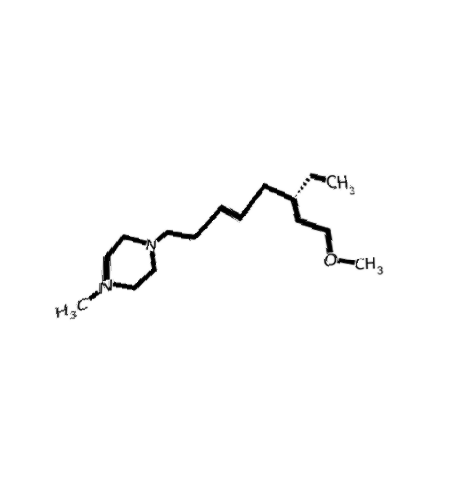 CC[C@@H](CCCCCN1CCN(C)CC1)CCOC